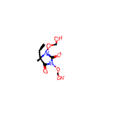 C=CC1(C)C(=O)N(OCO)C(=O)N1OCO